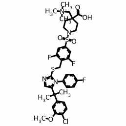 COc1cc(C(C)(C)c2cnc(SCc3c(F)cc(S(=O)(=O)N4CCC(C[N+](C)(C)C)(C(=O)O)CC4)cc3F)n2-c2ccc(F)cc2)ccc1Cl